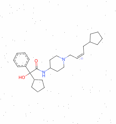 O=C(NC1CCN(C/C=C\CC2CCCC2)CC1)C(O)(c1ccccc1)C1CCCC1